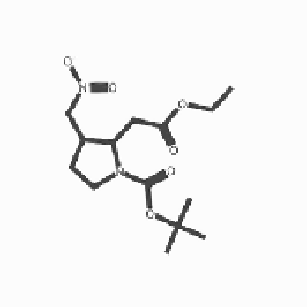 CCOC(=O)CC1C(C[N+](=O)[O-])CCN1C(=O)OC(C)(C)C